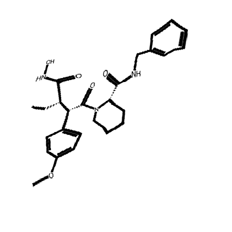 CC[C@H](C(=O)NO)[C@H](C(=O)N1CCCC[C@H]1C(=O)NCc1ccccc1)c1ccc(OC)cc1